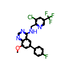 COc1cc(-c2ccc(F)cc2)cc2c(NCc3ncc(C(F)(F)F)cc3Cl)ncnc12